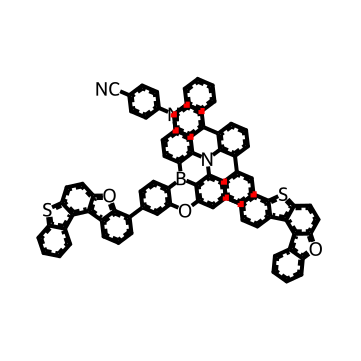 N#Cc1ccc(N(c2ccccc2)c2ccc3c(c2)N(c2c(-c4ccccc4)cccc2-c2ccccc2)c2cc(-c4ccc5c(c4)sc4ccc6oc7ccccc7c6c45)cc4c2B3c2ccc(-c3cccc5c3oc3ccc6sc7ccccc7c6c35)cc2O4)cc1